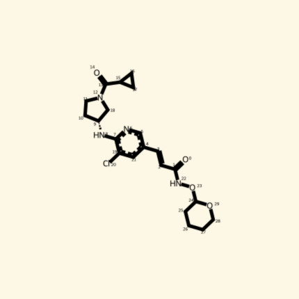 O=C(/C=C/c1cnc(N[C@@H]2CCN(C(=O)C3CC3)C2)c(Cl)c1)NOC1CCCCO1